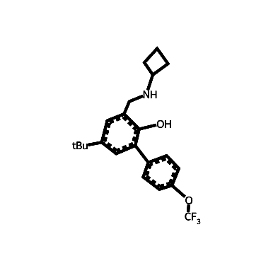 CC(C)(C)c1cc(CNC2CCC2)c(O)c(-c2ccc(OC(F)(F)F)cc2)c1